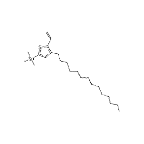 C=Cc1s[c]([Sn]([CH3])([CH3])[CH3])cc1CCCCCCCCCCCCCC